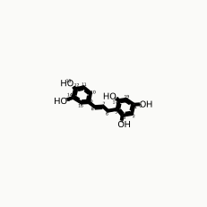 Oc1cc(O)c(C/C=C/c2ccc(O)c(O)c2)c(O)c1